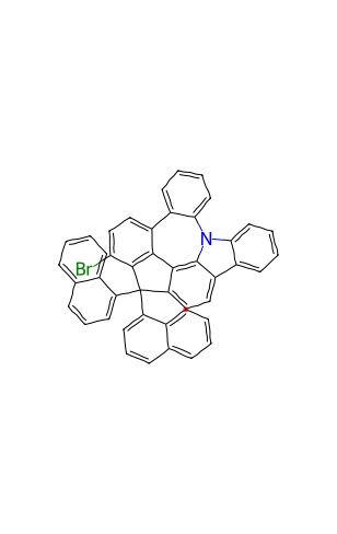 Brc1ccc2c3c1C(c1cccc4ccccc14)(c1cccc4ccccc14)c1ccc4c5ccccc5n(c4c1-3)-c1ccccc1-2